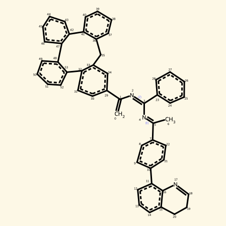 C=C(/N=C(\N=C(/C)c1ccc(-c2cccc3c2N=CCC3)cc1)c1ccccc1)c1ccc2c(c1)Cc1ccccc1-c1ccccc1-c1ccccc1-2